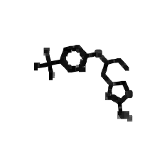 CCC(CC1COC(N)=N1)Oc1ccc(C(F)(F)F)cn1